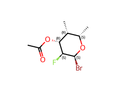 CC(=O)O[C@@H]1[C@H](C)[C@H](C)O[C@@H](Br)[C@H]1F